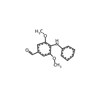 COc1cc(C=O)cc(OC)c1Nc1ccccc1